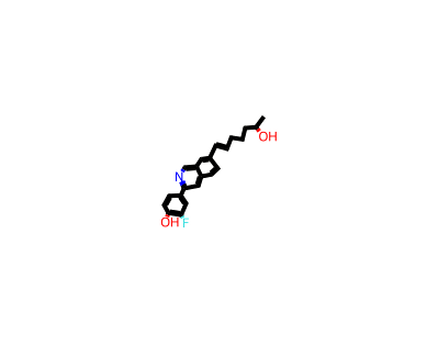 CC(O)CCCC=Cc1ccc2cc(-c3ccc(O)c(F)c3)ncc2c1